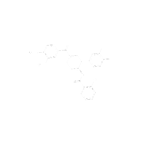 COc1ccc(C(=O)N2CC[C@H](NC(=O)c3ccccc3Cl)[C@@H](c3ccc(Cl)c(F)c3)C2)cc1OC